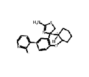 NC1=NC2(CS1)c1cc(-c3cccnc3F)ccc1OC1CCCC[C@H]12